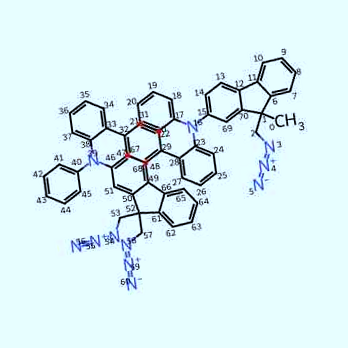 CC1(CN=[N+]=[N-])c2ccccc2-c2ccc(N(c3ccccc3)c3ccccc3-c3ccc(-c4ccccc4N(c4ccccc4)c4ccc5c(c4)C(CN=[N+]=[N-])(CN=[N+]=[N-])c4ccccc4-5)cc3)cc21